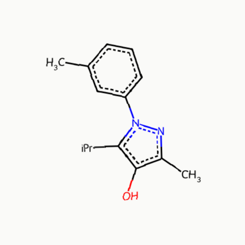 Cc1cccc(-n2nc(C)c(O)c2C(C)C)c1